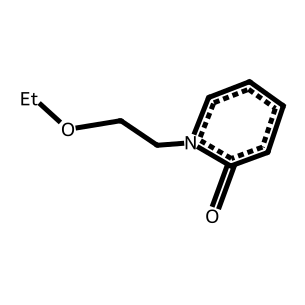 CCOCCn1ccccc1=O